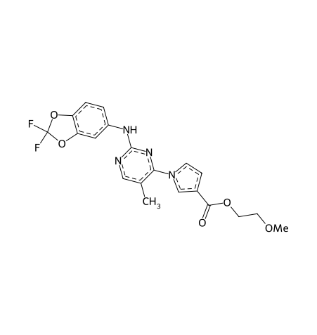 COCCOC(=O)c1ccn(-c2nc(Nc3ccc4c(c3)OC(F)(F)O4)ncc2C)c1